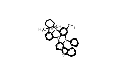 Cc1cc2c3c(c1)N1c4c(cccc4C4(C)CCCC[C@@]14C)B3c1ccc3sc4ccccc4c3c1N2c1ccccc1